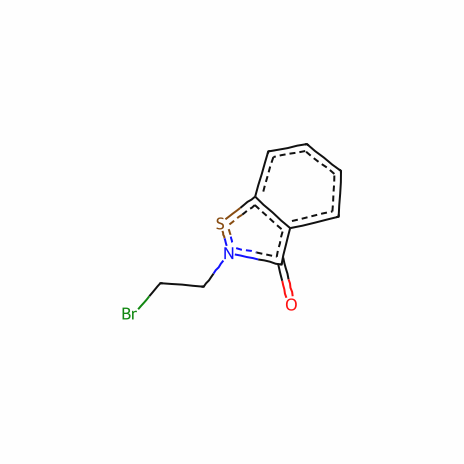 O=c1c2ccccc2sn1CCBr